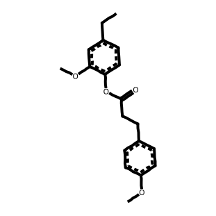 CCc1ccc(OC(=O)CCc2ccc(OC)cc2)c(OC)c1